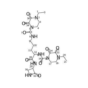 CCN1CCN(C(=O)NCCCC(NC(=O)N2CCN(CC)C(=O)C2=O)C(=O)NC2CNC2=O)C(=O)C1=O